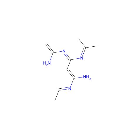 C=C(N)/N=C(\C=C(/N)N=CC)N=C(C)C